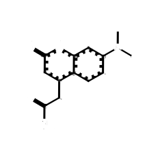 CN(C)c1ccc2c(CC(N)=O)cc(=O)oc2c1